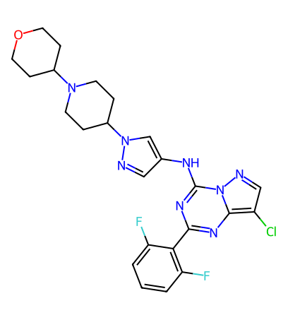 Fc1cccc(F)c1-c1nc(Nc2cnn(C3CCN(C4CCOCC4)CC3)c2)n2ncc(Cl)c2n1